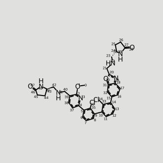 COc1nc(-c2cccc(-c3cccc(-c4ccc5nc(CNC[C@@H]6CCC(=O)N6)oc5c4)c3Cl)c2Cl)ccc1CNC[C@H]1CCC(=O)N1